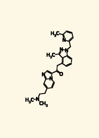 Cc1cccc(Cn2nc(C)c3c(CC(=O)c4cnc5cc(CCN(C)C)ccn45)cccc32)n1